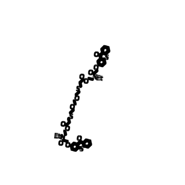 CCN(CCOC(=O)CCSCCOCCOCCSCCC(=O)OCCN(CC)C(=O)COc1ccc2sc3ccccc3c(=O)c2c1)C(=O)COc1ccc2sc3ccccc3c(=O)c2c1